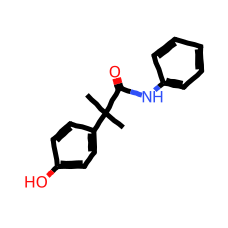 CC(C)(C(=O)Nc1ccccc1)c1ccc(O)cc1